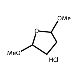 COC1CCC(OC)O1.Cl